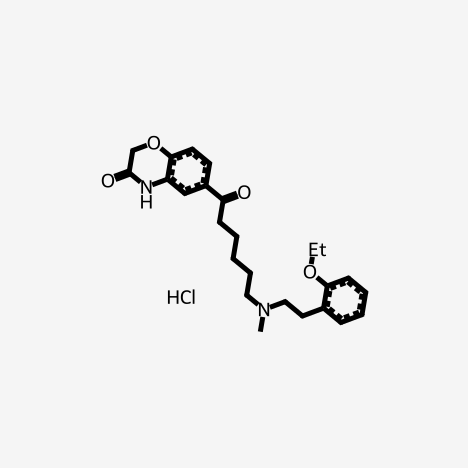 CCOc1ccccc1CCN(C)CCCCCC(=O)c1ccc2c(c1)NC(=O)CO2.Cl